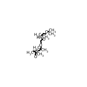 CCC(C)(C=O)NCC(C)(C)COCCC(=O)NC(C)(C)CCOC(C)C